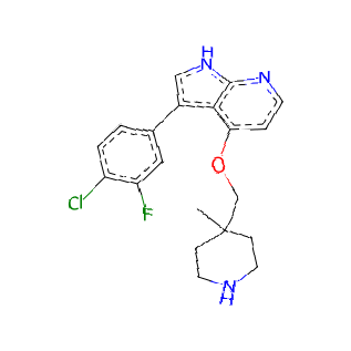 CC1(COc2ccnc3[nH]cc(-c4ccc(Cl)c(F)c4)c23)CCNCC1